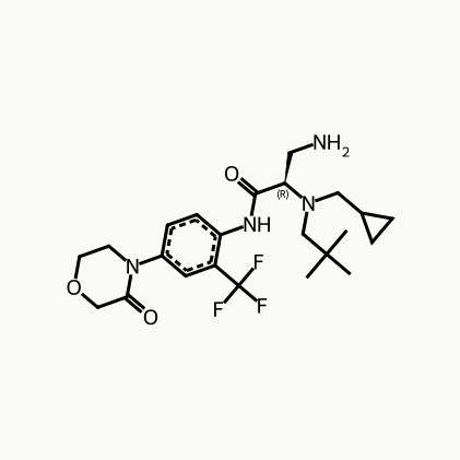 CC(C)(C)CN(CC1CC1)[C@H](CN)C(=O)Nc1ccc(N2CCOCC2=O)cc1C(F)(F)F